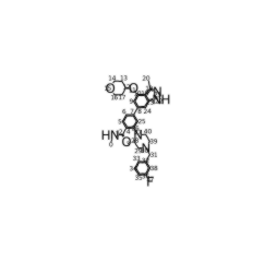 CNC(=O)c1ccc(-c2cc(OC3CCOCC3)c3c(C)n[nH]c3c2)cc1N1CCN(Cc2cccc(F)c2)CC1